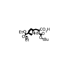 CCOP(=O)(OCC)c1ccc(C[C@H](NC(=O)OC(C)(C)C)C(=O)O)nc1